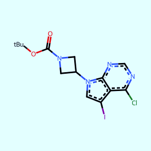 CC(C)(C)OC(=O)N1CC(n2cc(I)c3c(Cl)ncnc32)C1